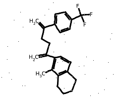 C=C(CCC(=C)c1ccc2c(c1C)CCCC2)c1ccc(C(F)(F)F)cc1